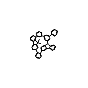 CC1(C)c2ccccc2-c2ccc(-c3ccccc3-c3ccc4c(c3)c3ccccc3n4-c3cc(-c4ccccc4)cc(-c4ccccc4)c3)cc21